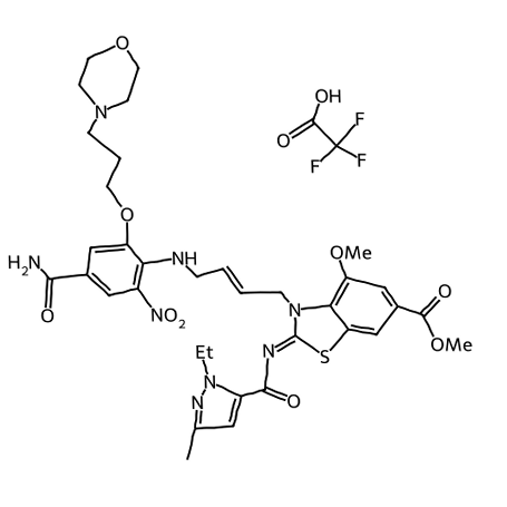 CCn1nc(C)cc1C(=O)/N=c1\sc2cc(C(=O)OC)cc(OC)c2n1C/C=C/CNc1c(OCCCN2CCOCC2)cc(C(N)=O)cc1[N+](=O)[O-].O=C(O)C(F)(F)F